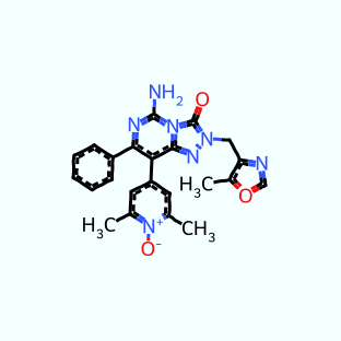 Cc1ocnc1Cn1nc2c(-c3cc(C)[n+]([O-])c(C)c3)c(-c3ccccc3)nc(N)n2c1=O